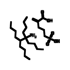 C=C(CCCS(=O)(=O)O)C(=O)O.CCCCC(CCCC)C(P)(CCCC)CCCC